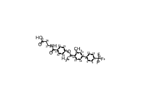 Cc1cc(-c2ccc(C(F)(F)F)cc2)ccc1[C@@H](C)Oc1ccc(C(=O)NCCC(=O)O)cc1